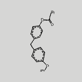 CC(C)Oc1ccc(Cc2ccc(OC(=O)C(C)C)cc2)cc1